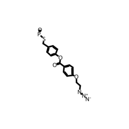 [N-]=[N+]=NCCOc1ccc(C(=O)Oc2ccc(CSP=O)cc2)cc1